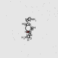 Nc1ncc2ncn([C@@H]3O[C@@H]4COP(=O)(O)O[C@@H]5[C@H](O)[C@@H](CCC[C@H]4[C@H]3O)O[C@H]5n3cnc4c(=O)[nH]c(N)nc43)c2n1